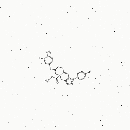 COC(=O)C12Cc3cnn(-c4ccc(F)cc4)c3C=C1CCN(Sc1ccc(C)c(F)c1)C2